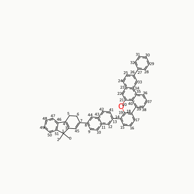 CC1(C)C2=C(CCC(c3ccc4cc(-c5cccc6c5Oc5cc7ccc(-c8ccccc8)cc7c7cccc-6c57)ccc4c3)=C2)c2ccccc21